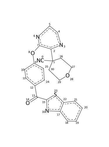 N#CC1(c2nccnc2Oc2ccc(C(=O)c3nc4ccccc4s3)cc2)CCOCC1